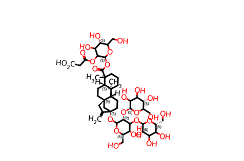 C=C1C[C@@]23CC[C@H]4[C@@](C)(CCC[C@@]4(C)C(=O)O[C@@H]4OC(CO)[C@@H](O)C(O)C4OC(=O)CC(=O)O)[C@@H]2CC[C@]1(OC1O[C@H](CO)C(O)C(OC2O[C@H](CO)C(O)C(O)[C@H]2O)[C@H]1O[C@@H]1OC(CO)[C@@H](O)C(O)C1O)C3